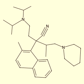 Cc1ccc2ccccc2c1C(C#N)(CCN(C(C)C)C(C)C)C(C)CN1CCCCC1